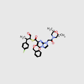 CC(c1ccc(F)cc1)C(C=O)SC(=O)c1nc2n(CC(=O)N3C[C@@H](C)O[C@@H](C)C3)ccn2c(=O)c1OCc1ccccc1